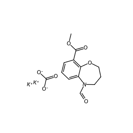 COC(=O)c1cccc2c1OCCCN2C=O.O=C([O-])[O-].[K+].[K+]